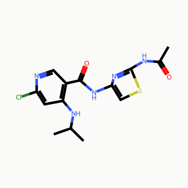 CC(=O)Nc1nc(NC(=O)c2cnc(Cl)cc2NC(C)C)cs1